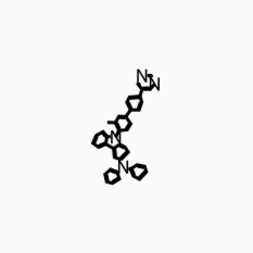 Cc1cc(-c2ccc(-c3cncnc3)cc2)ccc1-n1c2ccccc2c2cc(N(c3ccccc3)c3ccccc3)ccc21